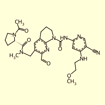 COCCNc1cc(NC(=O)N2CCCc3cc(CN(C)C(=O)[C@@H]4CCCN4C(C)=O)c(C=O)nc32)ncc1C#N